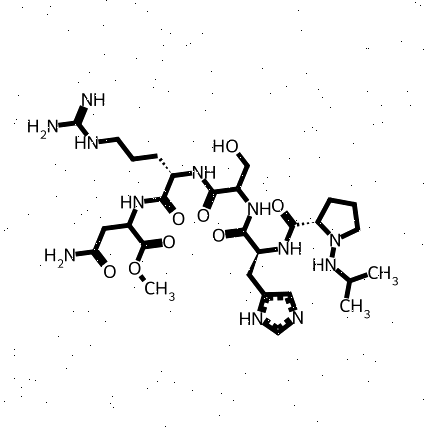 COC(=O)C(CC(N)=O)NC(=O)[C@H](CCCNC(=N)N)NC(=O)C(CO)NC(=O)[C@H](Cc1cnc[nH]1)NC(=O)[C@@H]1CCCN1NC(C)C